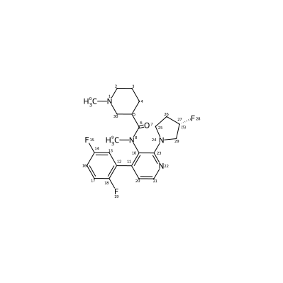 CN1CCCC(C(=O)N(C)c2c(-c3cc(F)ccc3F)ccnc2N2CC[C@H](F)C2)C1